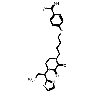 N=C(N)c1ccc(OCCCCN2CCN(C(CC(=O)O)c3nccs3)C(=O)C2=O)cc1